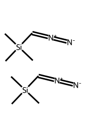 C[Si](C)(C)C=[N+]=[N-].C[Si](C)(C)C=[N+]=[N-]